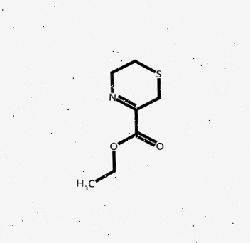 CCOC(=O)C1=NCCSC1